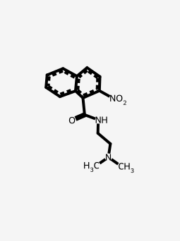 CN(C)CCNC(=O)c1c([N+](=O)[O-])ccc2ccccc12